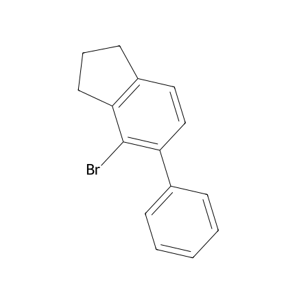 Brc1c(-c2ccccc2)ccc2c1CCC2